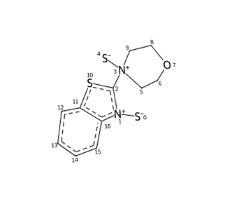 [S-][n+]1c([N+]2([S-])CCOCC2)sc2ccccc21